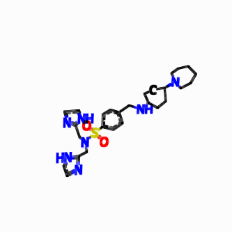 O=S(=O)(c1ccc(CN[C@H]2CC[C@H](N3CCCCCC3)CC2)cc1)N(Cc1ncc[nH]1)Cc1ncc[nH]1